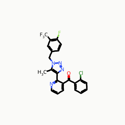 Cc1c(-c2ncccc2C(=O)c2ccccc2Cl)nnn1Cc1ccc(F)c(C(F)(F)F)c1